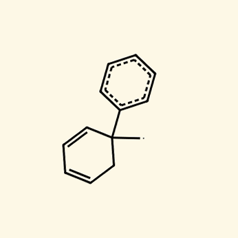 [CH2]C1(c2ccccc2)C=CC=CC1